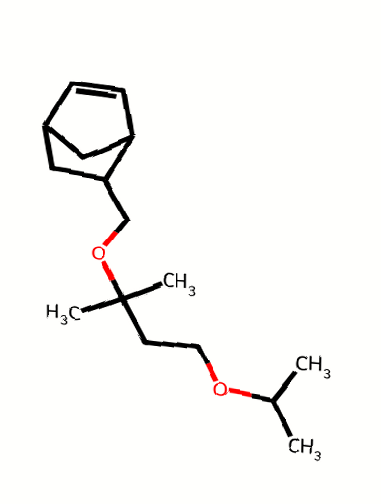 CC(C)OCCC(C)(C)OCC1CC2C=CC1C2